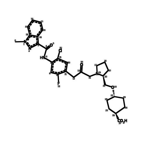 Cn1nc(C(=O)Nc2cc(F)c(CC(=O)CN3CCC[C@H]3CO[C@H]3CC[C@H](C(=O)O)CC3)cc2Cl)c2ccccc21